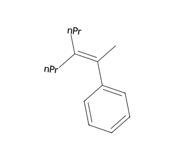 CCCC(CCC)=C(C)c1ccccc1